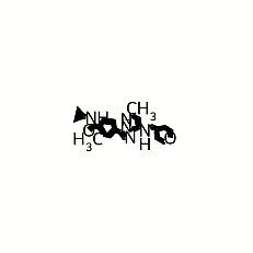 Cc1cc(NCC2CCOCC2)c2ncc(-c3ccc(C(=O)NC4CC4)c(C)c3)n2n1